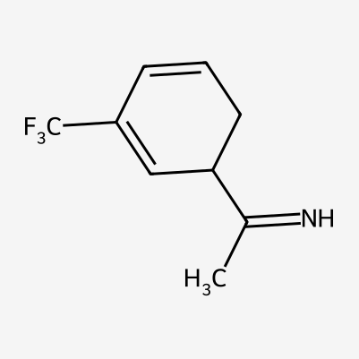 CC(=N)C1C=C(C(F)(F)F)C=CC1